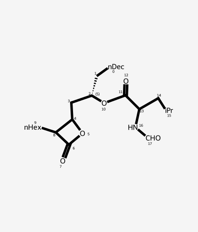 CCCCCCCCCCC[C@@H](CC1OC(=O)C1CCCCCC)OC(=O)C(CC(C)C)NC=O